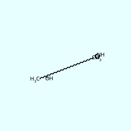 C1=CC=CNC=C1.CCCCCCCCCCCCCCCCCCCCCCCCCCCCCC(O)CCCCC